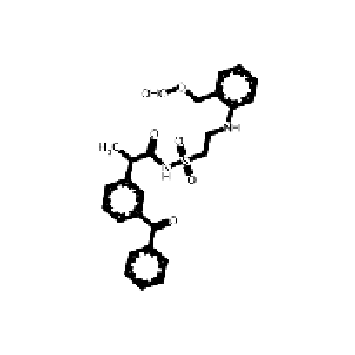 CC(C(=O)NS(=O)(=O)CCNc1ccccc1COC=O)c1cccc(C(=O)c2ccccc2)c1